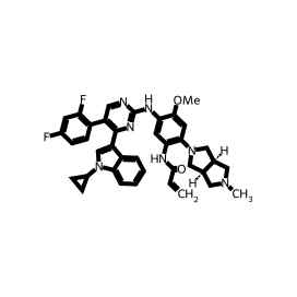 C=CC(=O)Nc1cc(Nc2ncc(-c3ccc(F)cc3F)c(-c3cn(C4CC4)c4ccccc34)n2)c(OC)cc1N1C[C@H]2CN(C)C[C@H]2C1